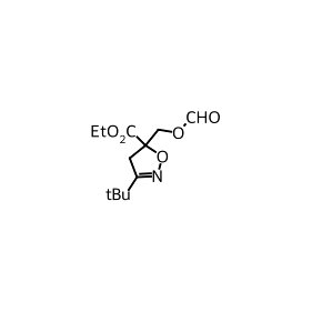 CCOC(=O)C1(COC=O)CC(C(C)(C)C)=NO1